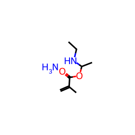 C=C(C)C(=O)OC(C)NCC.N